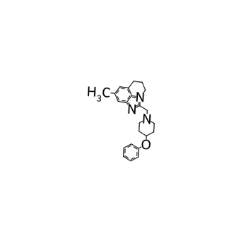 Cc1cc2c3c(c1)nc(CN1CCC(Oc4ccccc4)CC1)n3CCC2